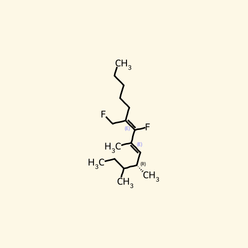 CCCCC/C(CF)=C(F)/C(C)=C/[C@H](C)C(C)CC